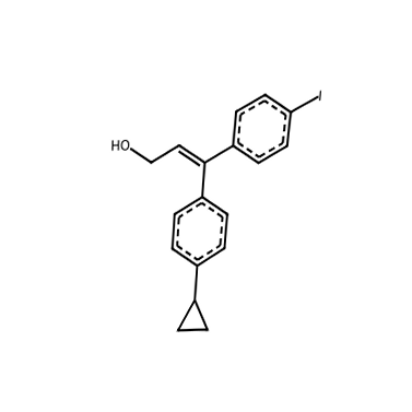 OCC=C(c1ccc(I)cc1)c1ccc(C2CC2)cc1